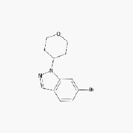 Brc1ccc2cnn(C3CCOCC3)c2c1